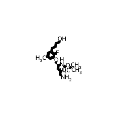 Cc1cc(CCCCO)c(F)c(OC[C@H](CCCN)NC(=O)OC(C)(C)C)c1